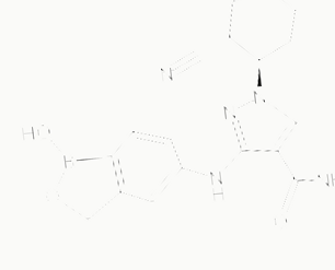 N#C[C@@H]1CCCC[C@H]1n1cc(C(N)=O)c(Nc2ccc3c(c2)COB3O)n1